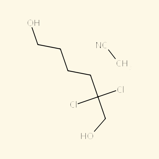 CC#N.OCCCCC(Cl)(Cl)CO